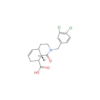 O=C(O)C1CC=CC2CCN(Cc3ccc(Cl)c(Cl)c3)C(=O)[C@@H]21